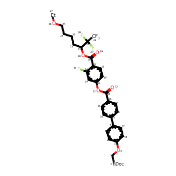 CCCCCCCCCCCOc1ccc(-c2ccc(C(=O)Oc3ccc(C(=O)OC(CCCCOCC)C(F)(F)C(F)(F)F)c(F)c3)cc2)cc1